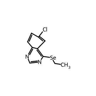 CC[Se]c1ncnc2ccc(Cl)cc12